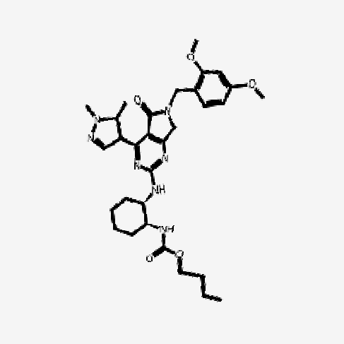 CCCCOC(=O)N[C@H]1CCCC[C@H]1Nc1nc2c(c(C3C=NN(C)C3C)n1)C(=O)N(Cc1ccc(OC)cc1OC)C2